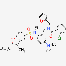 CCCN(CC)c1ccc(N(CC)S(=O)(=O)c2ccc3oc(C(=O)OCC)c(C)c3c2)c(CN(Cc2ccco2)C(=O)c2ccccc2Cl)c1